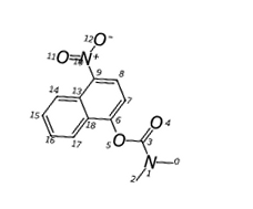 CN(C)C(=O)Oc1ccc([N+](=O)[O-])c2ccccc12